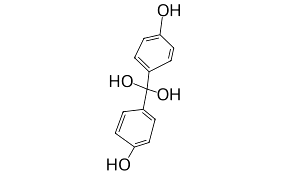 Oc1ccc(C(O)(O)c2ccc(O)cc2)cc1